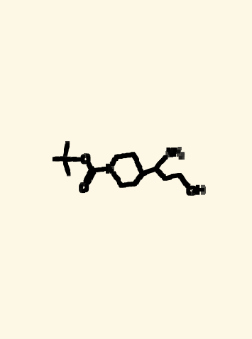 CC(C)(C)OC(=O)N1CCC(C(N)CCO)CC1